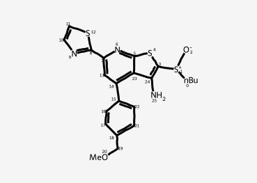 CCCC[S+]([O-])c1sc2nc(-c3nccs3)cc(-c3ccc(COC)cc3)c2c1N